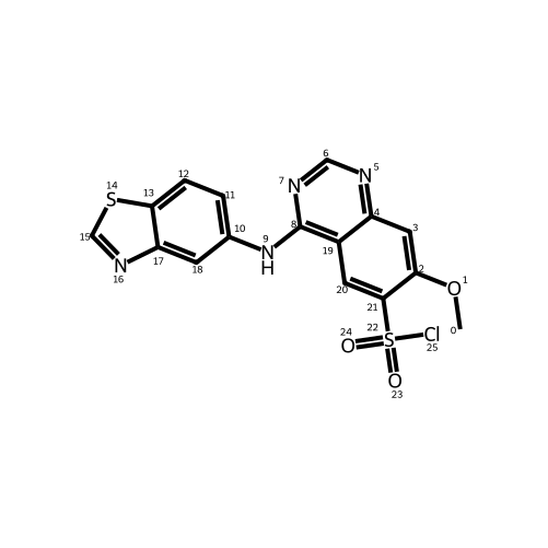 COc1cc2ncnc(Nc3ccc4scnc4c3)c2cc1S(=O)(=O)Cl